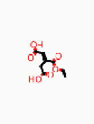 CCOC(=O)/C(=C/C(=O)O)CC(=O)O